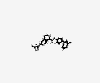 Cc1cccc(-c2ccc(CNc3nccc4cc(-c5nnc(C)o5)ncc34)cc2)c1